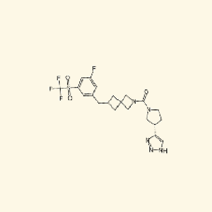 O=C(N1CC[C@H](c2c[nH]nn2)C1)N1CC2(CC(Cc3cc(F)cc(S(=O)(=O)C(F)(F)F)c3)C2)C1